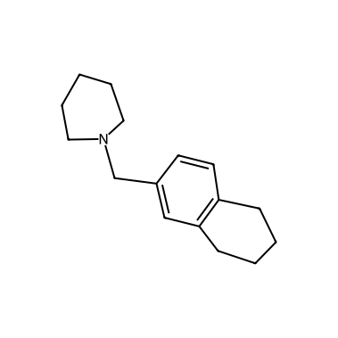 c1cc2c(cc1CN1CCCCC1)CCCC2